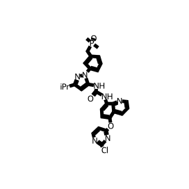 CC(C)c1cc(NC(=O)Nc2ccc(Oc3ccnc(Cl)n3)c3cccnc23)n(-c2cccc(CP(C)(C)=O)c2)n1